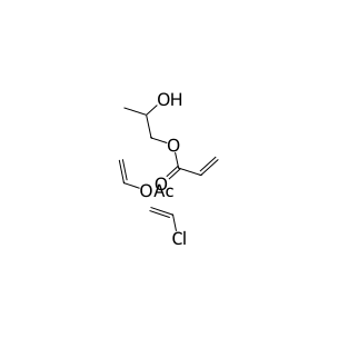 C=CC(=O)OCC(C)O.C=CCl.C=COC(C)=O